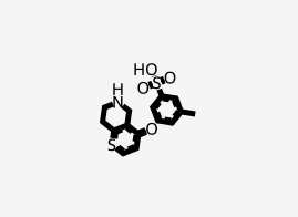 Cc1cccc(S(=O)(=O)O)c1.O=c1ccsc2c1CNCC2